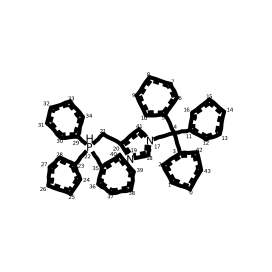 c1ccc(C(c2ccccc2)(c2ccccc2)n2cnc(C[PH](c3ccccc3)(c3ccccc3)c3ccccc3)c2)cc1